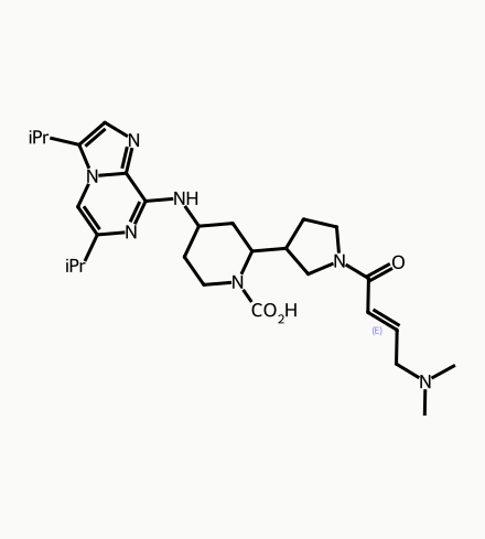 CC(C)c1cn2c(C(C)C)cnc2c(NC2CCN(C(=O)O)C(C3CCN(C(=O)/C=C/CN(C)C)C3)C2)n1